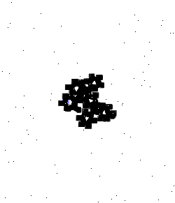 C=Cc1oc2c(N(c3ccccc3)c3ccc(N(c4ccccc4)c4ccc(F)cc4)cc3)cccc2c1/C=C\C